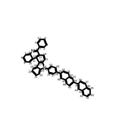 c1ccc(-c2nc3ccccc3c3c2ccc2c3c3ccccc3n2-c2ccc(-c3ccc4cc(-c5ccc6ccccc6c5)ccc4c3)cc2)cc1